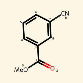 COC(=O)c1c[c]cc(C#N)c1